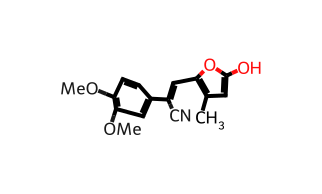 COc1ccc(C(C#N)=Cc2oc(O)cc2C)cc1OC